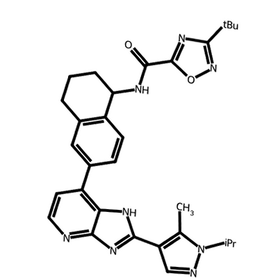 Cc1c(-c2nc3nccc(-c4ccc5c(c4)CCCC5NC(=O)c4nc(C(C)(C)C)no4)c3[nH]2)cnn1C(C)C